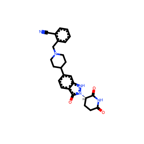 N#Cc1ccccc1CN1CCC(c2ccc3c(=O)n([C@H]4CCC(=O)NC4=O)[nH]c3c2)CC1